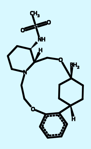 B[C@]12CC[C@H](CC1)c1ccccc1OCCN1CCC[C@H](NS(C)(=O)=O)[C@@H]1CO2